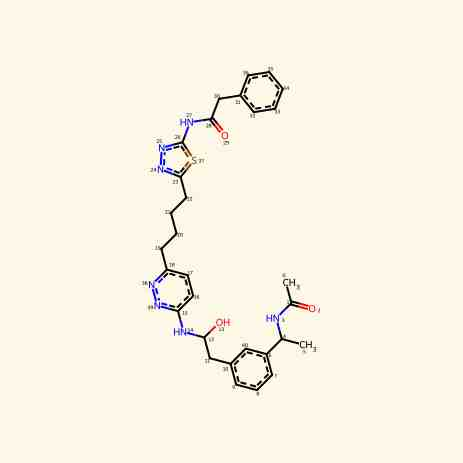 CC(=O)NC(C)c1cccc(CC(O)Nc2ccc(CCCCc3nnc(NC(=O)Cc4ccccc4)s3)nn2)c1